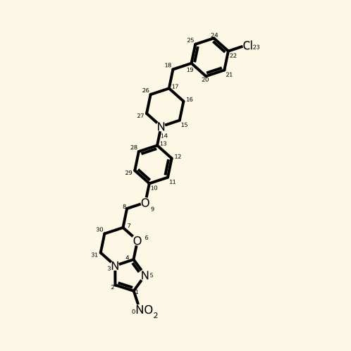 O=[N+]([O-])c1cn2c(n1)OC(COc1ccc(N3CCC(Cc4ccc(Cl)cc4)CC3)cc1)CC2